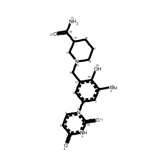 CC(C)(C)c1cc(-n2ccc(=O)[nH]c2=O)cc(CN2CCCC(C(N)=O)C2)c1O